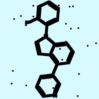 Fc1ccccc1-n1ccc2c(-c3cccnc3)cccc21